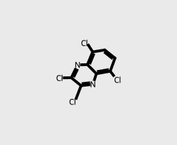 Clc1nc2c(Cl)ccc(Cl)c2nc1Cl